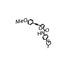 COc1ccc(C#Cc2ccc(C(=O)Nc3ccc(N4CCC(C)C4)cc3)o2)cc1